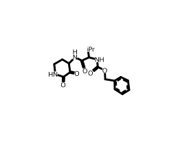 CC(C)C(NC(=O)OCc1ccccc1)C(=O)NC1CCNC(=O)C1=O